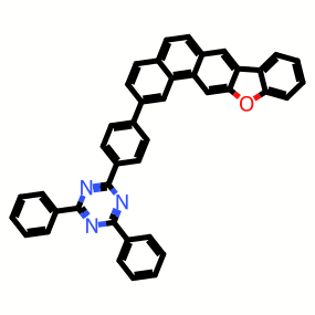 c1ccc(-c2nc(-c3ccccc3)nc(-c3ccc(-c4ccc5ccc6cc7c(cc6c5c4)oc4ccccc47)cc3)n2)cc1